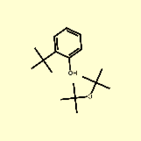 CC(C)(C)OC(C)(C)C.CC(C)(C)c1ccccc1O